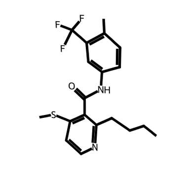 CCCCc1nccc(SC)c1C(=O)Nc1ccc(C)c(C(F)(F)F)c1